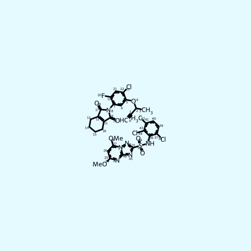 C#CC(C)Oc1cc(N2C(=O)C3=C(CCCC3)C2=O)c(F)cc1Cl.COc1cc(OC)n2nc(S(=O)(=O)Nc3c(Cl)ccc(C)c3Cl)nc2n1